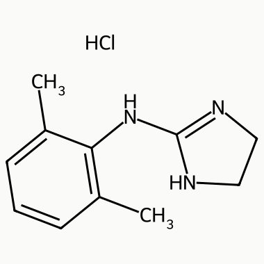 Cc1cccc(C)c1NC1=NCCN1.Cl